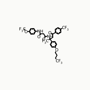 O=C(CC(=O)NC(CC(=O)c1ccc(C(F)(F)F)cc1)(c1ccc(OCCCC(F)(F)F)cc1)C(F)(F)F)Nc1ccc(OC(F)(F)F)cc1